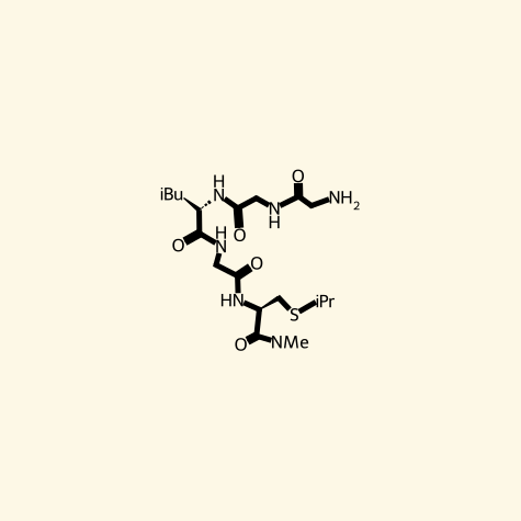 CC[C@H](C)[C@H](NC(=O)CNC(=O)CN)C(=O)NCC(=O)N[C@@H](CSC(C)C)C(=O)NC